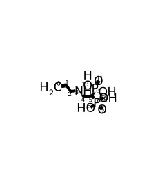 C=CCNCC(P(=O)(O)O)P(=O)(O)O